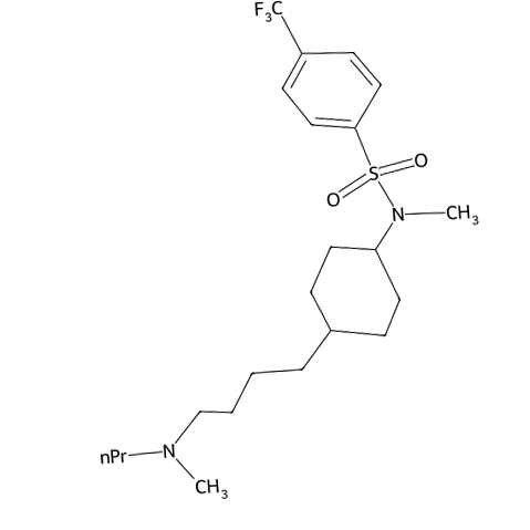 CCCN(C)CCCCC1CCC(N(C)S(=O)(=O)c2ccc(C(F)(F)F)cc2)CC1